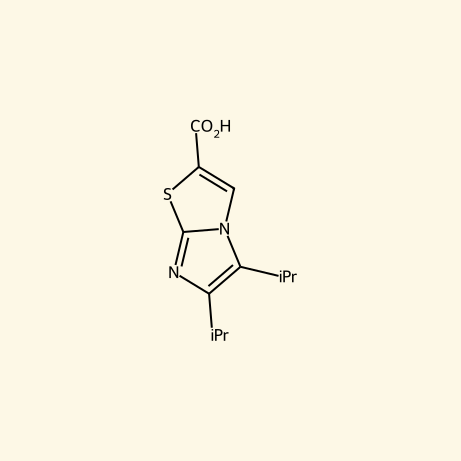 CC(C)c1nc2sc(C(=O)O)cn2c1C(C)C